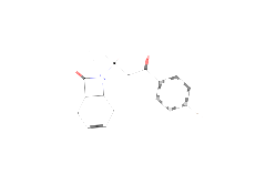 O=C(CC(O)(C(=O)O)N1C(=O)C2CC=CCC21)c1ccc(Br)cc1